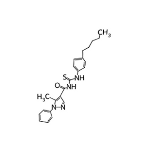 CCCCCc1ccc(NC(=S)NC(=O)c2cnn(-c3ccccc3)c2C)cc1